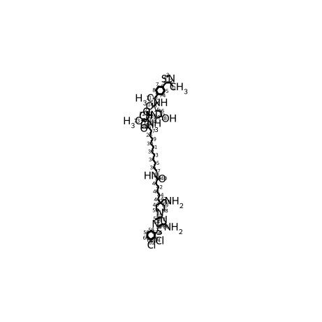 Cc1ncsc1-c1ccc([C@H](C)NC(=O)[C@@H]2C[C@@H](O)CN2C(=O)[C@@H](NC(=O)CCCCCCCCCCCNC(=O)CCCCCC2(CN)CCN(c3cnc(Sc4cccc(Cl)c4Cl)c(N)n3)CC2)C(C)(C)C)cc1